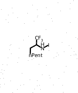 CCCCCCC(NI)C(F)(F)F